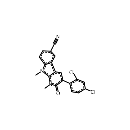 Cn1c(=O)c(-c2ccc(Cl)cc2Cl)cc2c3cc(C#N)ccc3n(C)c21